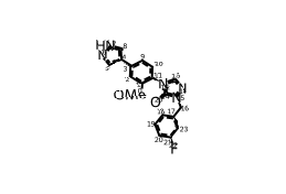 COc1cc(-c2cn[nH]c2)ccc1-n1cnn(Cc2cccc(F)c2)c1=O